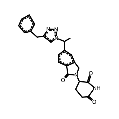 CC(c1ccc2c(c1)CN(C1CCC(=O)NC1=O)C2=O)n1cc(Cc2ccccc2)nn1